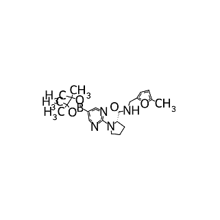 Cc1ccc(CNC(=O)[C@@H]2CCCN2c2ncc(B3OC(C)(C)C(C)(C)O3)cn2)o1